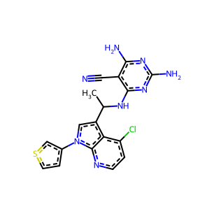 CC(Nc1nc(N)nc(N)c1C#N)c1cn(-c2ccsc2)c2nccc(Cl)c12